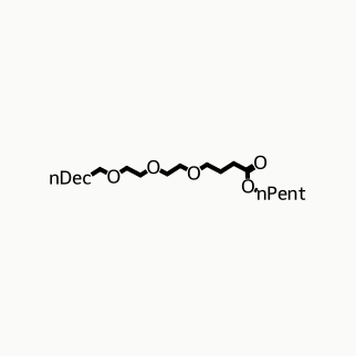 CCCCCCCCCCCOCCOCCOCCCC(=O)OCCCCC